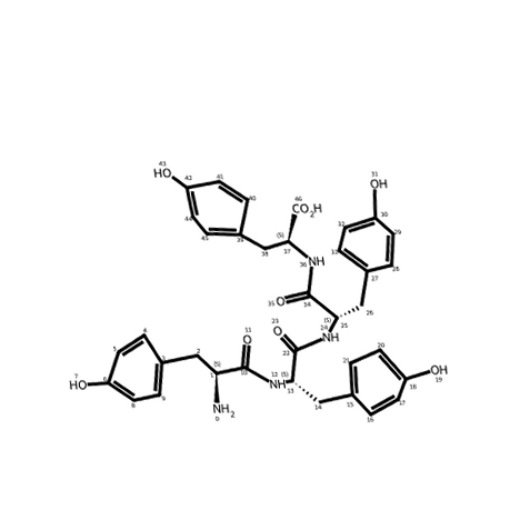 N[C@@H](Cc1ccc(O)cc1)C(=O)N[C@@H](Cc1ccc(O)cc1)C(=O)N[C@@H](Cc1ccc(O)cc1)C(=O)N[C@@H](Cc1ccc(O)cc1)C(=O)O